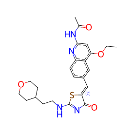 CCOc1cc(NC(C)=O)nc2ccc(/C=C3\SC(NCCC4CCOCC4)=NC3=O)cc12